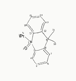 CC(C)P1(=O)c2ccccc2C(C)(C)c2ccccc21